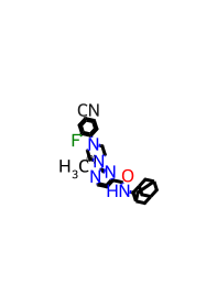 C[C@@H]1CN(c2ccc(C#N)cc2F)CCN1c1nccc(C(=O)NC2C3CC4CC(C3)CC2C4)n1